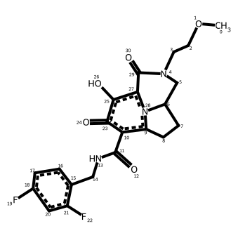 COCCN1CC2CCc3c(C(=O)NCc4ccc(F)cc4F)c(=O)c(O)c(n32)C1=O